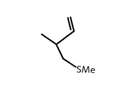 [CH2]SCC(C)C=C